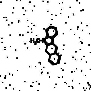 Cn1c2c(c3ccccc31)C=C1C=CC=CC1C2